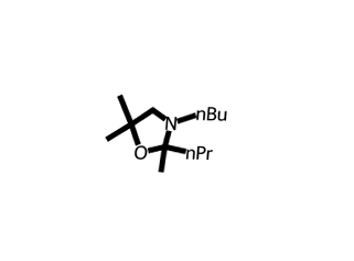 CCCCN1CC(C)(C)OC1(C)CCC